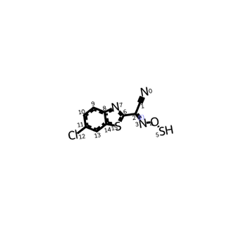 N#C/C(=N\OS)c1nc2ccc(Cl)cc2s1